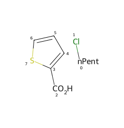 CCCCCCl.O=C(O)c1cccs1